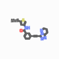 CSc1cc(NC(=O)c2cccc(C#Cc3nnc4cccnn34)c2)cs1